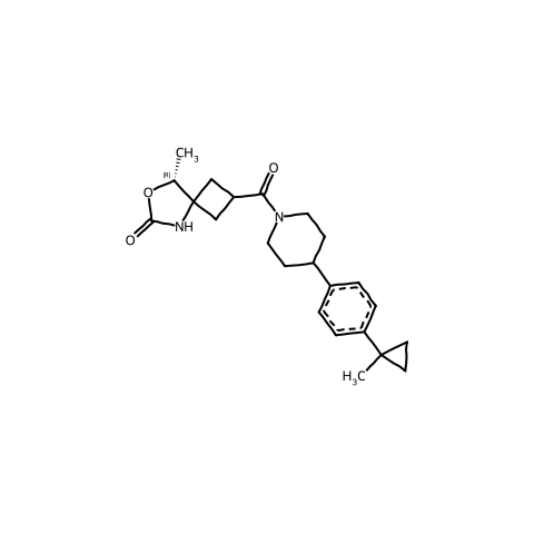 C[C@H]1OC(=O)NC12CC(C(=O)N1CCC(c3ccc(C4(C)CC4)cc3)CC1)C2